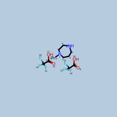 CC(C)N1CCCNCC1.O=C(O)C(F)(F)F.O=C(O)C(F)(F)F